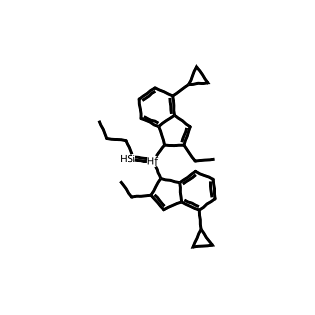 CCC[SiH]=[Hf]([CH]1C(CC)=Cc2c(C3CC3)cccc21)[CH]1C(CC)=Cc2c(C3CC3)cccc21